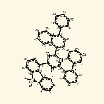 C[Si]1(C)c2ccccc2-c2c(-c3nc(-c4ccccc4-c4ccccc4)nc(-c4ccc(-c5ccccc5)c5ccccc45)n3)cccc21